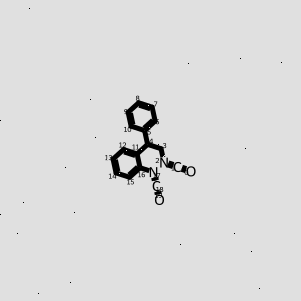 O=C=NCC(c1ccccc1)c1ccccc1N=C=O